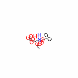 C=CC(C)(C)OC(=O)C(CCC1OC[C@@H](C(=O)O)O1)NC(=O)OCC1c2ccccc2-c2ccccc21